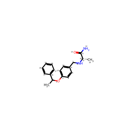 CC(Oc1ccc(CN[C@@H](C)C(N)=O)cc1)c1ccccc1